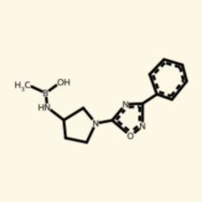 CB(O)NC1CCN(c2nc(-c3ccccc3)no2)C1